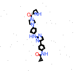 O=C(Nc1ccc(-c2ccnc(Nc3ccc(N4CCN(C(=O)[C@@H]5CCCN5)CC4)cc3)n2)cc1)C1CC1